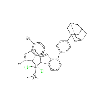 CCC1=Cc2c(-c3ccc(C45CC6CC(CC(C6)C4)C5)cc3)cccc2[CH]1[Zr]([Cl])([Cl])([CH]1C(C(C)C)=Cc2c(C(C)CC)cccc21)[SiH](C)C